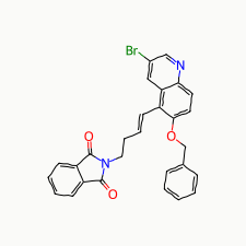 O=C1c2ccccc2C(=O)N1CCC=Cc1c(OCc2ccccc2)ccc2ncc(Br)cc12